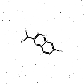 Clc1ccc2nc(C(Br)Br)cnc2c1